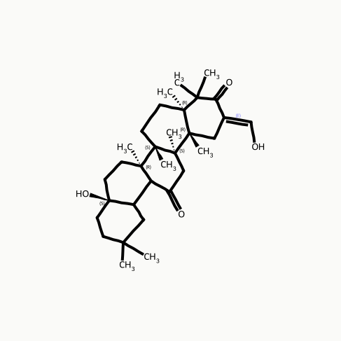 CC1(C)CC[C@]2(O)CC[C@]3(C)C(C(=O)C[C@]4(C)[C@@]5(C)C/C(=C\O)C(=O)C(C)(C)[C@]5(C)CC[C@]43C)C2C1